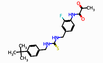 CC(=O)C(=O)Nc1ccc(CNC(=S)NCc2ccc(C(C)(C)C)cc2)cc1F